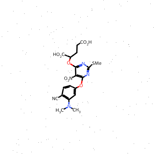 CSc1nc(Oc2ccc(C#N)c(N(C)C)c2)c([N+](=O)[O-])c(OC(CCC(=O)O)C(=O)O)n1